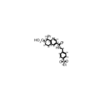 CCS(=O)(=O)c1ccc(CNC(=O)c2cnc3c(c2)CCN(C(=O)O)[C@@H]3C(C)C)cc1